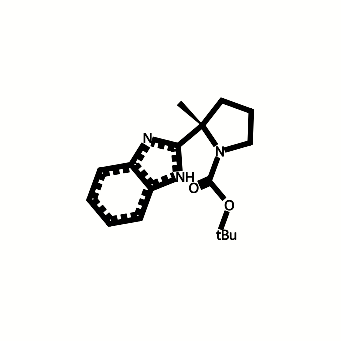 CC(C)(C)OC(=O)N1CCC[C@@]1(C)c1nc2ccccc2[nH]1